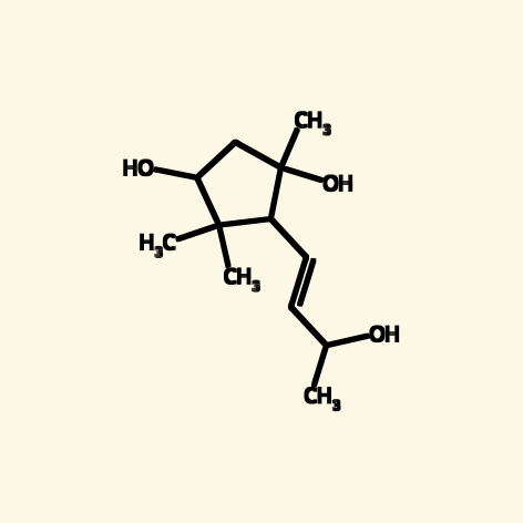 CC(O)/C=C/C1C(C)(O)CC(O)C1(C)C